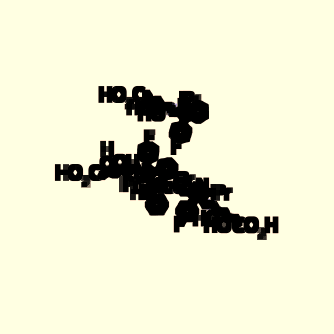 CC(C)c1c(C(=O)Nc2ccccc2)c(-c2ccccc2)c(-c2ccc(F)cc2)n1CC[C@@H](O)C[C@@H](O)CC(=O)O.CC(C)n1c(/C=C/[C@@H](O)C[C@@H](O)CC(=O)O)c(-c2ccc(F)cc2)c2ccccc21.COCc1c(C(C)C)nc(C(C)C)c(/C=C/[C@@H](O)C[C@@H](O)CC(=O)O)c1-c1ccc(F)cc1